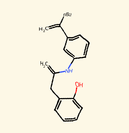 C=C(Cc1ccccc1O)Nc1cccc(C(=C)CCCC)c1